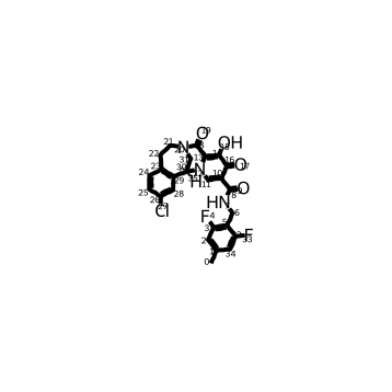 Cc1cc(F)c(CNC(=O)c2cn3c(c(O)c2=O)C(=O)N2CCc4ccc(Cl)cc4[C@H]3C2)c(F)c1